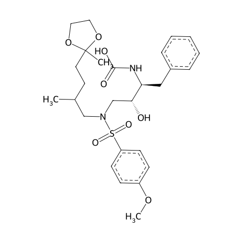 COc1ccc(S(=O)(=O)N(CC(C)CCC2(C)OCCO2)C[C@@H](O)[C@H](Cc2ccccc2)NC(=O)O)cc1